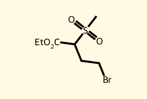 CCOC(=O)C(CCBr)S(C)(=O)=O